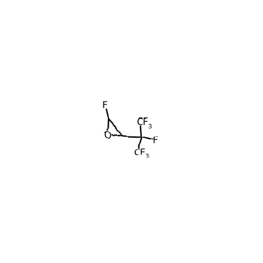 FC1OC1C(F)(C(F)(F)F)C(F)(F)F